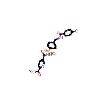 COC(=O)c1ccc(C(=O)NS(=O)(=O)c2ccc(CNC(=O)c3ccc(Cl)cc3)cc2)cn1